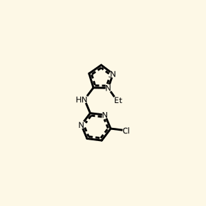 CCn1nccc1Nc1nccc(Cl)n1